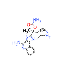 CC(C)(C)CC(C)(OC(N)=O)c1nc2c(N)nc3ccccc3c2n1CCCN